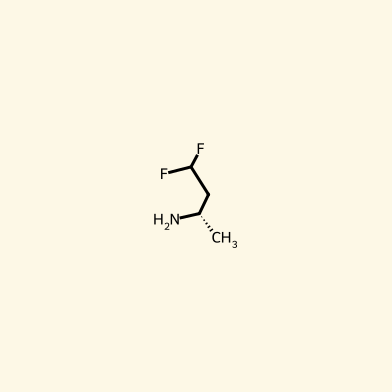 C[C@H](N)CC(F)F